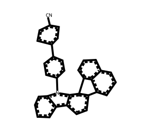 N#Cc1ccc(-c2ccc(-n3c4ccccc4c4ccc5c(c43)-c3cccc4cccc-5c34)cc2)cc1